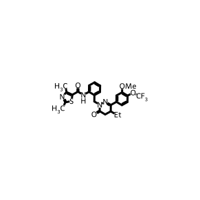 CCC1CC(=O)N(Cc2ccccc2NC(=O)c2sc(C)nc2C)N=C1c1ccc(OC(F)(F)F)c(OC)c1